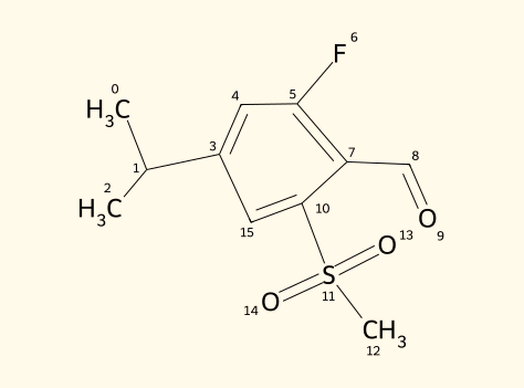 CC(C)c1cc(F)c(C=O)c(S(C)(=O)=O)c1